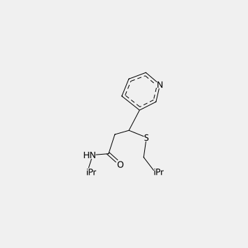 CC(C)CSC(CC(=O)NC(C)C)c1cccnc1